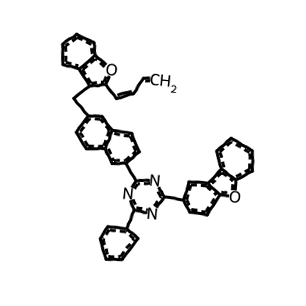 C=C/C=C\c1oc2ccccc2c1Cc1ccc2cc(-c3nc(-c4ccccc4)nc(-c4ccc5oc6ccccc6c5c4)n3)ccc2c1